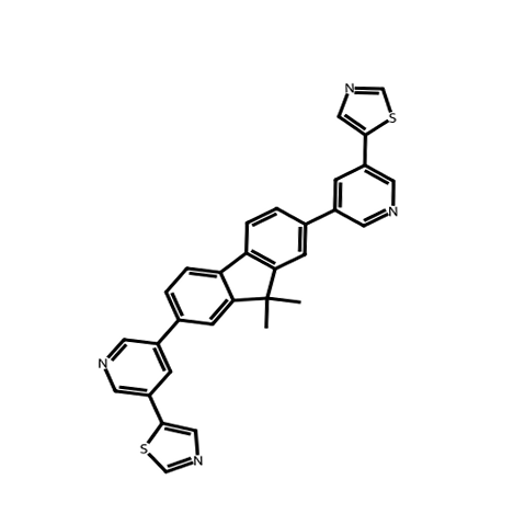 CC1(C)c2cc(-c3cncc(-c4cncs4)c3)ccc2-c2ccc(-c3cncc(-c4cncs4)c3)cc21